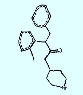 O=C(CC1CCNCC1)C(Cc1ccccc1)c1ccccc1F